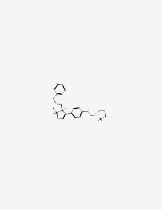 CC1(C)CCCN1CCc1ccc(C2=CC[C@@H]3CN(Cc4ccccc4)C[C@H]23)cc1